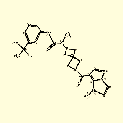 CN(C(=O)Nc1cncc(C(C)(F)F)c1)C1CC2(C1)CN(C(=O)c1cnn3ccn(C)c13)C2